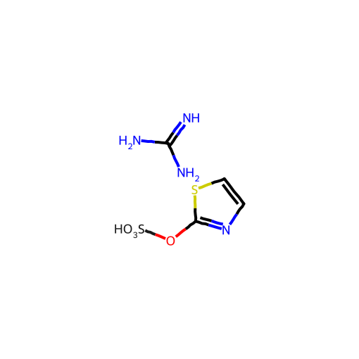 N=C(N)N.O=S(=O)(O)Oc1nccs1